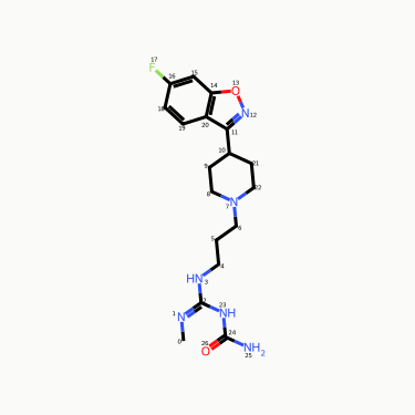 C/N=C(/NCCCN1CCC(c2noc3cc(F)ccc23)CC1)NC(N)=O